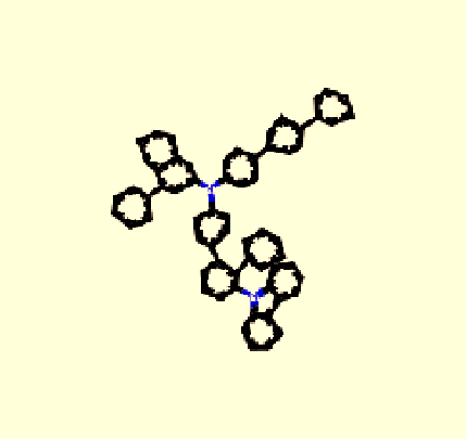 c1ccc(-c2ccc(-c3ccc(N(c4ccc(-c5cccc(-n6c7ccccc7c7ccccc76)c5-c5ccccc5)cc4)c4cc(-c5ccccc5)c5ccccc5c4)cc3)cc2)cc1